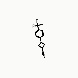 N#CC1CC(c2ccc(C(F)(F)F)cc2)C1